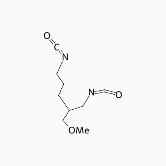 COCC(CCCN=C=O)CN=C=O